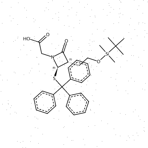 CC(C)(C)[Si](C)(C)OCC[C@H]1C(=O)N(CC(=O)O)[C@@H]1SC(c1ccccc1)(c1ccccc1)c1ccccc1